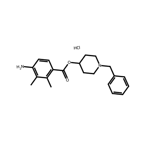 Cc1c(N)ccc(C(=O)OC2CCN(Cc3ccccc3)CC2)c1C.Cl